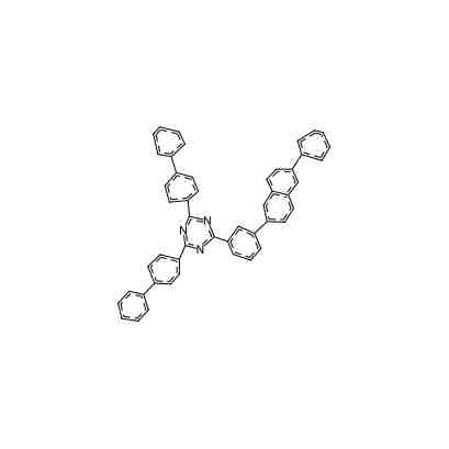 c1ccc(-c2ccc(-c3nc(-c4ccc(-c5ccccc5)cc4)nc(-c4cccc(-c5ccc6cc(-c7ccccc7)ccc6c5)c4)n3)cc2)cc1